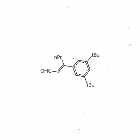 CCCC(=CC=O)c1cc(C(C)(C)C)cc(C(C)(C)C)c1